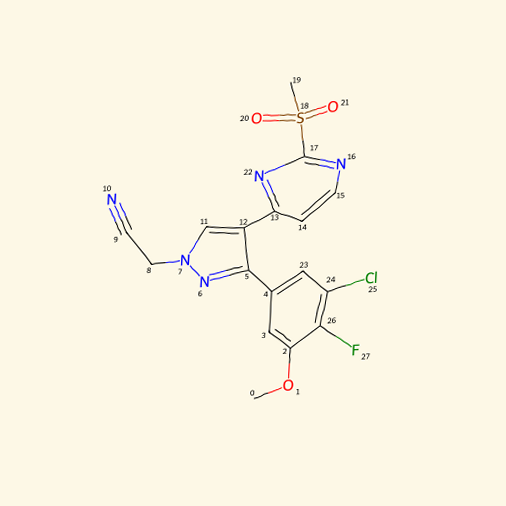 COc1cc(-c2nn(CC#N)cc2-c2ccnc(S(C)(=O)=O)n2)cc(Cl)c1F